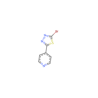 Brc1nnc(-c2ccncc2)s1